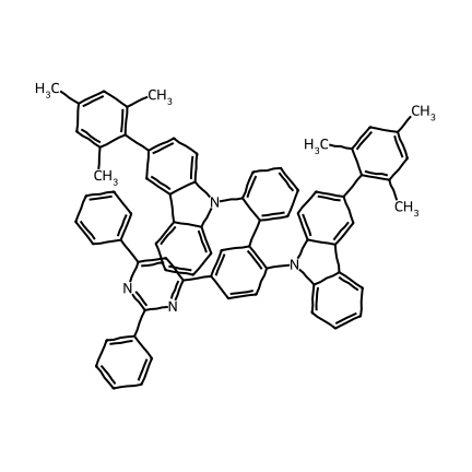 Cc1cc(C)c(-c2ccc3c(c2)c2ccccc2n3-c2ccccc2-c2cc(-c3cc(-c4ccccc4)nc(-c4ccccc4)n3)ccc2-n2c3ccccc3c3cc(-c4c(C)cc(C)cc4C)ccc32)c(C)c1